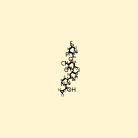 Cc1cnc(-c2ccnc([C@H](O)C3CC3)n2)cc1-n1c(C)cc(OCc2ncc(F)cc2F)c(Cl)c1=O